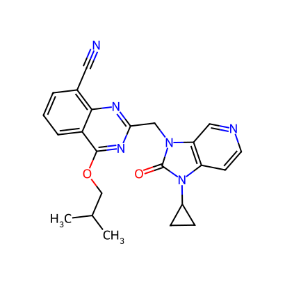 CC(C)COc1nc(Cn2c(=O)n(C3CC3)c3ccncc32)nc2c(C#N)cccc12